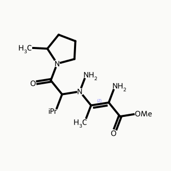 COC(=O)/C(N)=C(\C)N(N)C(C(=O)N1CCCC1C)C(C)C